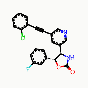 O=C1N[C@H](c2cncc(C#Cc3ccccc3Cl)c2)[C@@H](c2cccc(F)c2)O1